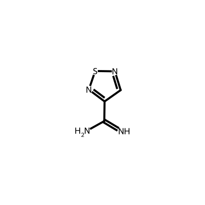 N=C(N)c1cnsn1